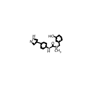 CN(Cc1cccc(O)c1)C(=O)Nc1ccc(-c2cn[nH]c2)cc1